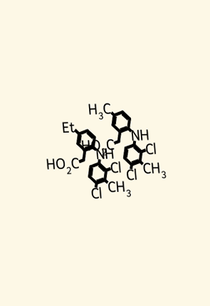 CCc1ccc(Nc2ccc(Cl)c(C)c2Cl)c(CC(=O)O)c1.Cc1ccc(Nc2ccc(Cl)c(C)c2Cl)c(CC(=O)O)c1